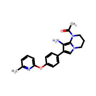 CC(=O)N1CCCn2cc(-c3ccc(Oc4cccc(C)n4)cc3)c(N)c21